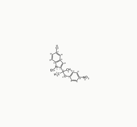 CCn1c(C(C)(C)Oc2ccc([N+](=O)[O-])cc2)cc2cc(Cl)ccc21